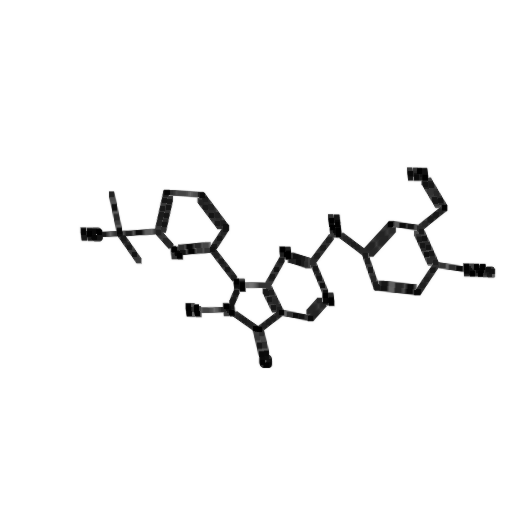 CCn1c(=O)c2cnc(Nc3ccc(NC)c(C=N)c3)nc2n1-c1cccc(C(C)(C)O)n1